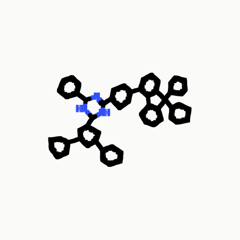 c1ccc(-c2cc(-c3ccccc3)cc(C3NC(c4ccc(-c5cccc6c5-c5ccccc5C6(c5ccccc5)c5ccccc5)cc4)=NC(c4ccccc4)N3)c2)cc1